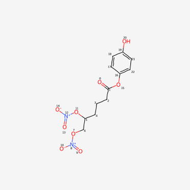 O=C(CCCC(CO[N+](=O)[O-])O[N+](=O)[O-])Oc1ccc(O)cc1